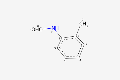 [CH2]c1ccccc1N[C]=O